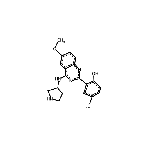 COc1ccc2nc(-c3cc(C)ccc3O)nc(N[C@H]3CCNC3)c2c1